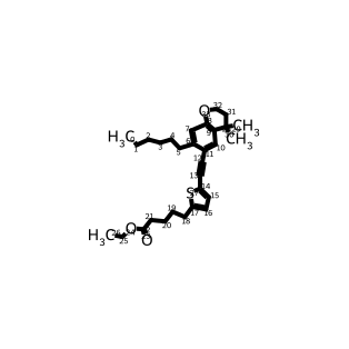 CCCCCCc1cc2c(cc1C#Cc1ccc(CCCCC(=O)OCC)s1)C(C)(C)CCO2